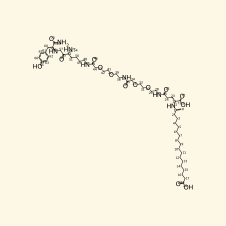 C=C(CCCCCCCCCCCCCCCCC(=O)O)N[C@@H](CCC(=O)NCCOCCOCC(=O)NCCOCCOCC(=O)NCCCC[C@H](NC)C(=O)CN[C@@H](Cc1ccc(O)cc1)C(N)=O)C(=O)O